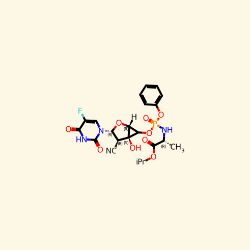 CC(C)OC(=O)[C@@H](C)NP(=O)(Oc1ccccc1)OC1[C@H]2O[C@@H](n3cc(F)c(=O)[nH]c3=O)[C@H](C#N)[C@@]12O